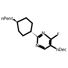 CCCCCCCCCCc1cnc([C@H]2CC[C@H](CCCCC)CC2)nc1F